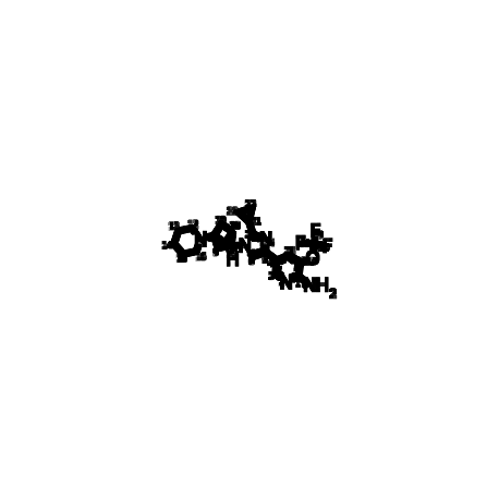 Nc1ncc(-c2cn([C@H]3CC4(N5CCCCC5)CC3C4)c(C3CC3)n2)cc1OC(F)(F)F